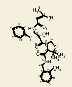 CC(C)=CC(=O)N[C@@H](Cc1ccccc1)[C@H](O)C(=O)N1CSC(C)(C)C1C(=O)NCc1ccccc1C